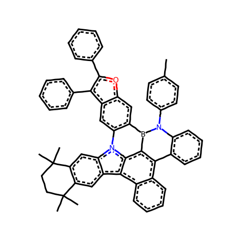 Cc1ccc(N2B3c4cc5oc(-c6ccccc6)c(-c6ccccc6)c5cc4-n4c5cc6c(cc5c5c7ccccc7c(c3c54)-c3ccccc32)C(C)(C)CCC6(C)C)cc1